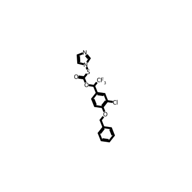 O=C(OC(c1ccc(OCc2ccccc2)c(Cl)c1)C(F)(F)F)Sn1ccnc1